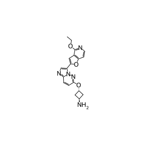 CCOc1nccc2oc(-c3cnc4ccc(O[C@H]5C[C@H](N)C5)nn34)cc12